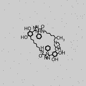 Cc1cc(-c2nnc(C(=O)NCCCCCCCc3cc(-c4nnc(C(=O)NCCCCCC(C)CN5CCOCC5)n4-c4ccccc4)c(O)cc3O)n2-c2ccccc2)c(O)cc1O